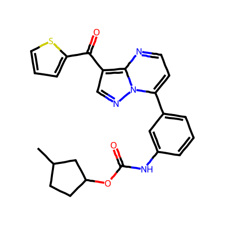 CC1CCC(OC(=O)Nc2cccc(-c3ccnc4c(C(=O)c5cccs5)cnn34)c2)C1